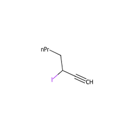 C#CC(I)CCC[CH2]